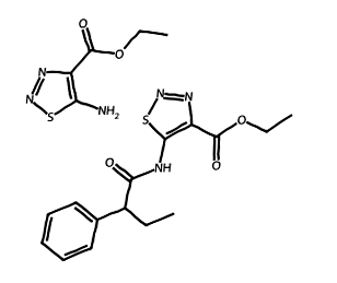 CCOC(=O)c1nnsc1N.CCOC(=O)c1nnsc1NC(=O)C(CC)c1ccccc1